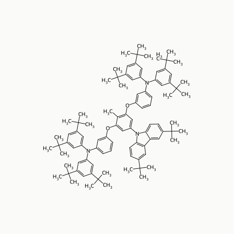 Cc1c(Oc2cccc(N(c3cc(C(C)(C)C)cc(C(C)(C)C)c3)c3cc(C(C)(C)C)cc(C(C)(C)C)c3)c2)cc(-n2c3ccc(C(C)(C)C)cc3c3cc(C(C)(C)C)ccc32)cc1Oc1cccc(N(c2cc(C(C)(C)C)cc(C(C)(C)C)c2)c2cc(C(C)(C)C)cc(C(C)(C)C)c2)c1